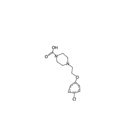 O=C(O)N1CCN(CCOc2ccc(Cl)cc2)CC1